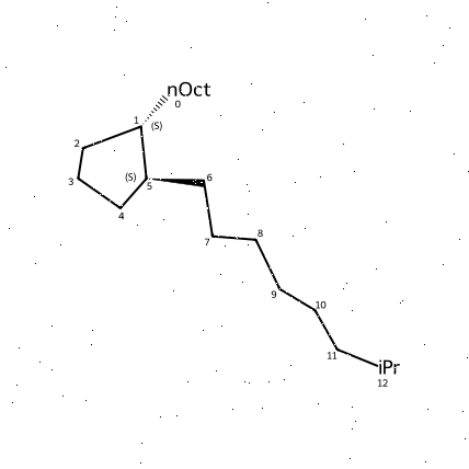 CCCCCCCC[C@H]1CCC[C@@H]1CCCCCCC(C)C